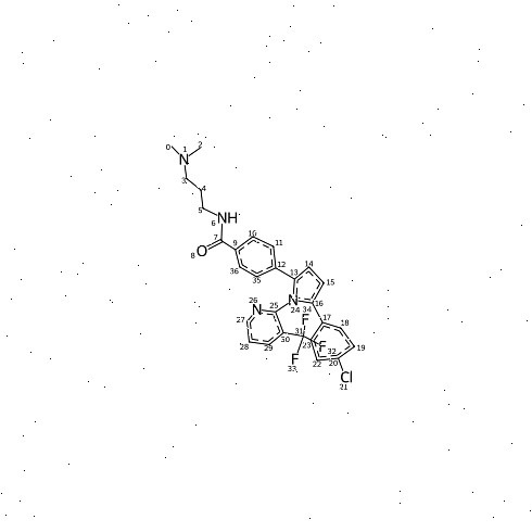 CN(C)CCCNC(=O)c1ccc(-c2ccc(-c3ccc(Cl)cc3)n2-c2ncccc2C(F)(F)F)cc1